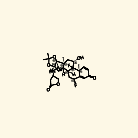 CC1(C)O[C@@H]2C[C@H]3[C@@H]4C[C@H](F)C5=CC(=O)C=C[C@]5(C)[C@@]4(F)[C@@H](O)C[C@]3(C)[C@]2(C(=O)NC2COC(=O)C2)O1